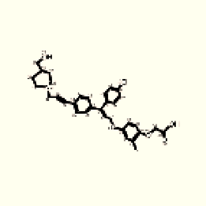 Cc1cc(OCC=C(c2ccc(Cl)cc2)c2ccc(C#CCN3CCC(CO)CC3)cc2)ccc1OCC(=O)O